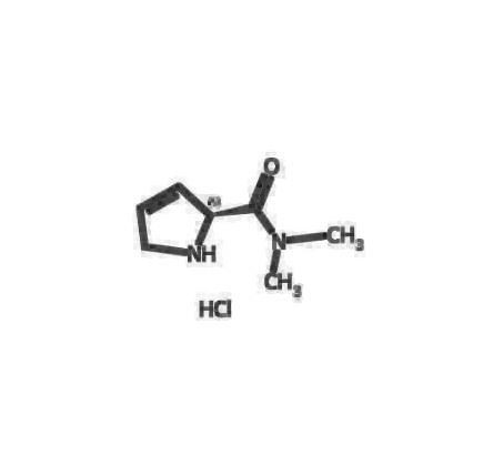 CN(C)C(=O)[C@@H]1C=CCN1.Cl